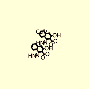 N=Nc1c(C(=O)[O-])c(O)cc2ccccc12.N=Nc1c(C(=O)[O-])c(O)cc2ccccc12.[Ca+2]